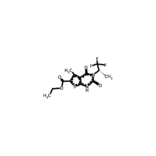 CCOC(=O)c1sc2[nH]c(=O)n([C@@H](C)C(F)(F)F)c(=O)c2c1C